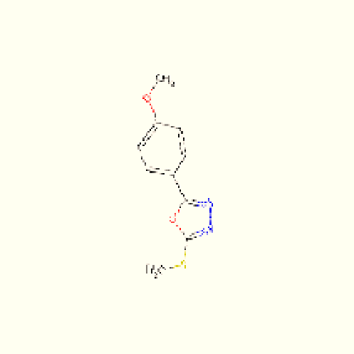 [CH2]Sc1nnc(-c2ccc(OC)cc2)o1